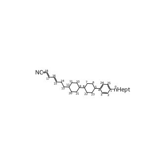 CCCCCCCc1ccc(C2CCC(C3CCC(CCC=CC=CC#N)CC3)CC2)cc1